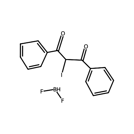 FBF.O=C(c1ccccc1)C(I)C(=O)c1ccccc1